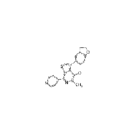 Cn1nc(-c2ccncc2)c2scc(-c3ccc4c(c3)CCO4)c2c1=O